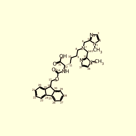 Cn1ccnc1CN(CCCC[C@H](NC(=O)OCC1c2ccccc2-c2ccccc21)C(=O)O)Cc1nccn1C